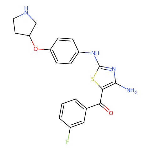 Nc1nc(Nc2ccc(OC3CCNC3)cc2)sc1C(=O)c1cccc(F)c1